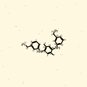 Cc1cc(Nc2cccc(CC(C)C)c2)c(C)cc1Nc1cccc(CC(C)C)c1